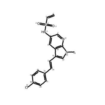 C=CS(=O)(=O)Nc1cnc2c(c1)c(/C=C/c1ccc(Cl)cc1)cn2C